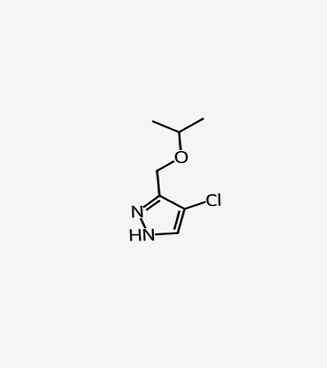 CC(C)OCc1n[nH]cc1Cl